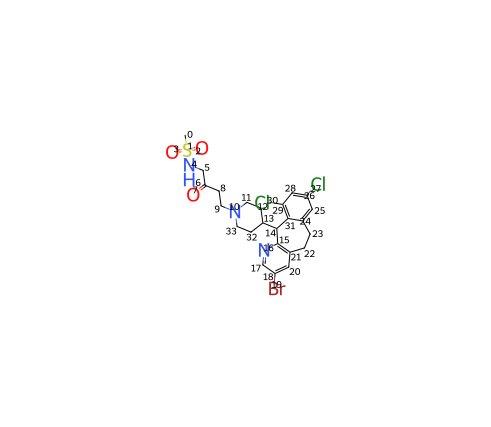 CS(=O)(=O)NCC(=O)CCN1CCC(C2c3ncc(Br)cc3CCc3cc(Cl)cc(Cl)c32)CC1